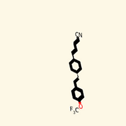 N#CC=CC=C[C@H]1CC[C@H](CCc2ccc(OC(F)(F)F)cc2)CC1